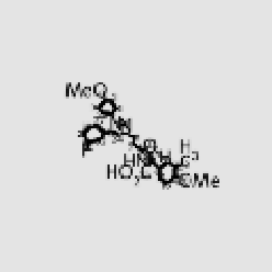 COc1ccc(-n2nc(CCC(=O)NC(C)(C(=O)O)c3ccc(OC)c(C)c3)cc2-c2cccc(F)c2)cc1